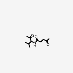 CC(=O)CCC(=O)NC(C(C)=O)C(C)C